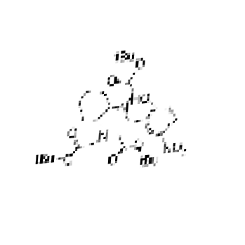 CC(C)(C)OC(=O)CN(CC(=O)OC(C)(C)C)[C@@H]1CCCC[C@H]1N(CC(=O)OC(C)(C)C)Cc1cc([N+](=O)[O-])ccc1O